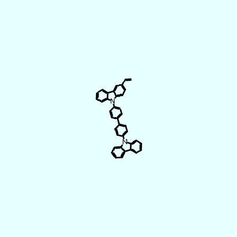 C=Cc1ccc2c(c1)c1ccccc1n2-c1ccc(-c2ccc(-n3c4ccccc4c4ccccc43)cc2)cc1